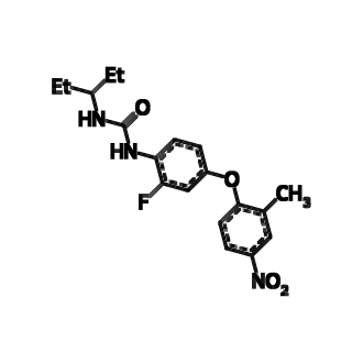 CCC(CC)NC(=O)Nc1ccc(Oc2ccc([N+](=O)[O-])cc2C)cc1F